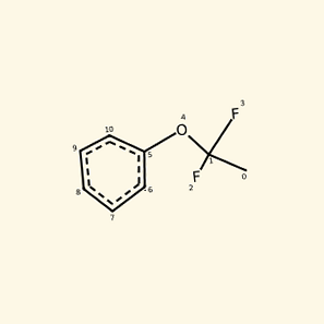 CC(F)(F)Oc1[c]cccc1